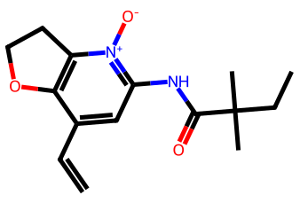 C=Cc1cc(NC(=O)C(C)(C)CC)[n+]([O-])c2c1OCC2